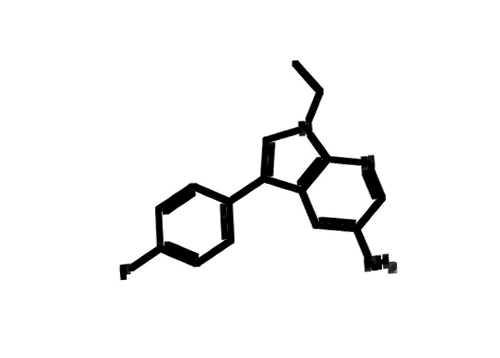 CCn1cc(-c2ccc(F)cc2)c2cc(N)cnc21